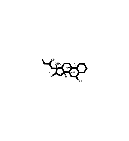 CCC(O)[C@@H](C)[C@@]1(O)C(O)C[C@H]2[C@@H]3CC(O)C4CCCC[C@]4(C)[C@H]3CC[C@@]21C